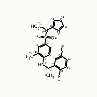 C[C@H](Nc1ccc(S(=O)(=O)N(C(=O)O)c2cscn2)cc1C(F)(F)F)c1cc(F)ccc1F